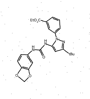 CCOC(=O)c1cccc(-n2nc(C(C)(C)C)cc2NC(=O)Nc2ccc3c(c2)OCO3)c1